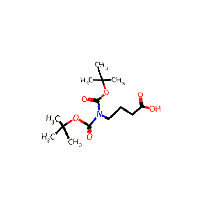 CC(C)(C)OC(=O)N(CCCC(=O)O)C(=O)OC(C)(C)C